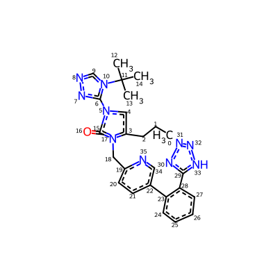 CCCc1cn(-c2nncn2C(C)(C)C)c(=O)n1Cc1ccc(-c2ccccc2-c2nnn[nH]2)cn1